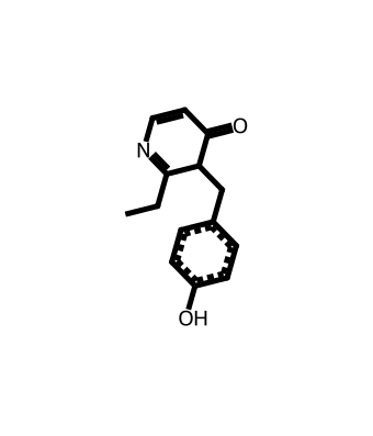 CCC1=NC=CC(=O)C1Cc1ccc(O)cc1